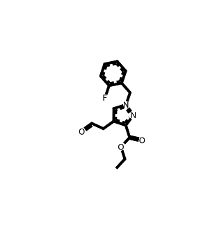 CCOC(=O)c1nn(Cc2ccccc2F)cc1CC=O